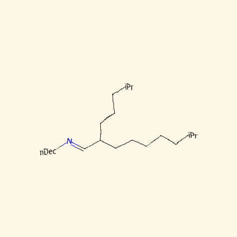 CCCCCCCCCCN=CC(CCCCCC(C)C)CCCC(C)C